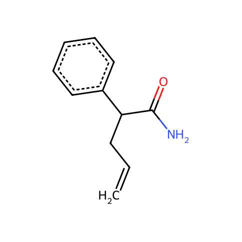 C=CCC(C(N)=O)c1ccccc1